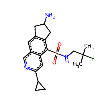 CC(C)(F)CNS(=O)(=O)c1c2c(cc3cnc(C4CC4)cc13)CC(N)C2